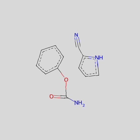 N#Cc1ccc[nH]1.NC(=O)Oc1ccccc1